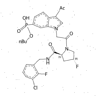 CCCCOP(=O)(O)c1ccc2c(C(C)=O)cn(CC(=O)N3C[C@H](F)C[C@H]3C(=O)NCc3cccc(Cl)c3F)c2c1